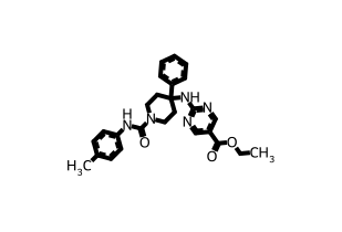 CCOC(=O)c1cnc(NC2(c3ccccc3)CCN(C(=O)Nc3ccc(C)cc3)CC2)nc1